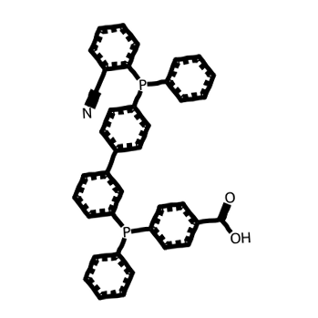 N#Cc1ccccc1P(c1ccccc1)c1ccc(-c2cccc(P(c3ccccc3)c3ccc(C(=O)O)cc3)c2)cc1